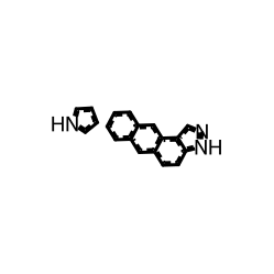 c1cc[nH]c1.c1ccc2cc3c(ccc4[nH]ncc43)cc2c1